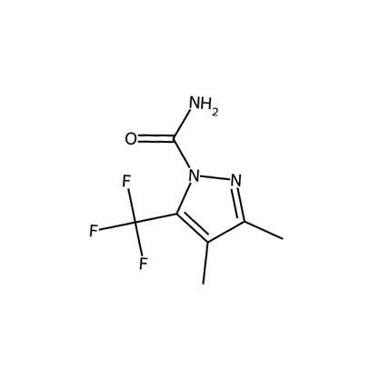 Cc1nn(C(N)=O)c(C(F)(F)F)c1C